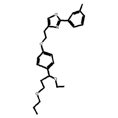 CCCOCCC(OCC)c1ccc(OCCc2coc(-c3cccc(C)c3)n2)cc1